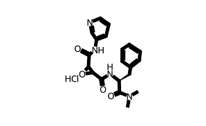 CN(C)C(=O)[C@H](Cc1ccccc1)NC(=O)C1OC1C(=O)Nc1cccnc1.Cl